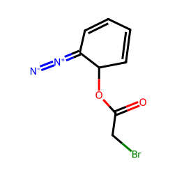 [N-]=[N+]=C1C=CC=CC1OC(=O)CBr